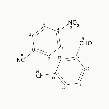 N#Cc1ccc([N+](=O)[O-])cc1.O=Cc1cccc(Cl)c1